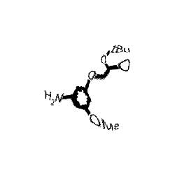 COc1cc(N)cc(OCC(=O)OC(C)(C)C)c1